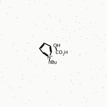 CCCC[n+]1ccccc1.O=C(O)O